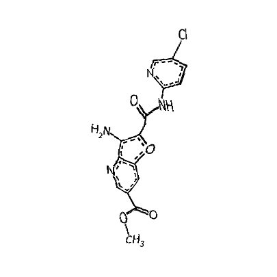 COC(=O)c1cnc2c(N)c(C(=O)Nc3ccc(Cl)cn3)oc2c1